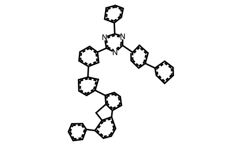 c1ccc(-c2ccc(-c3nc(-c4ccccc4)nc(-c4cccc(-c5cccc(-c6cccc7c6Cc6c(-c8ccccc8)cccc6-7)c5)c4)n3)cc2)cc1